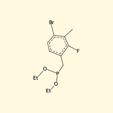 CCOP(Cc1ccc(Br)c(C)c1F)OCC